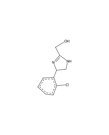 OCC1=NC(c2ccccc2Cl)CN1